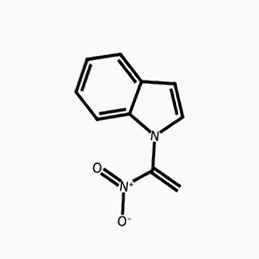 C=C(n1ccc2ccccc21)[N+](=O)[O-]